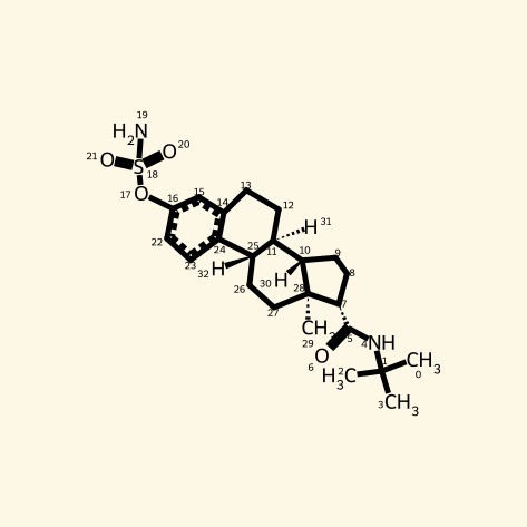 CC(C)(C)NC(=O)[C@H]1CC[C@H]2[C@@H]3CCc4cc(OS(N)(=O)=O)ccc4[C@H]3CC[C@]12C